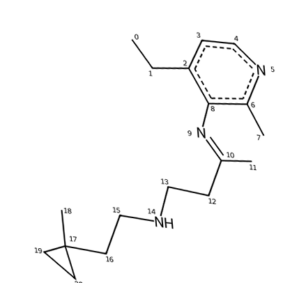 CCc1ccnc(C)c1/N=C(\C)CCNCCC1(C)CC1